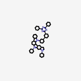 c1ccc(-c2nc(-c3ccccc3)nc(-c3cccc(-c4cccc(-n5c6ccccc6c6ccc7c(c8cc9ccn(-c%10ccccc%10)c9cc8n7-c7ccccc7)c65)c4)c3)n2)cc1